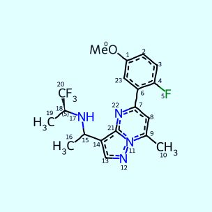 COc1ccc(F)c(-c2cc(C)n3ncc(C(C)N[C@@H](C)C(F)(F)F)c3n2)c1